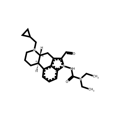 CCN(CC)C(=O)Nn1c(C=O)c2c3c(cccc31)[C@H]1CCCN(CC3CC3)[C@@H]1C2